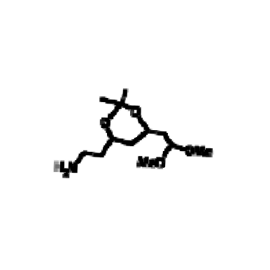 COC(CC1CC(CCN)OC(C)(C)O1)OC